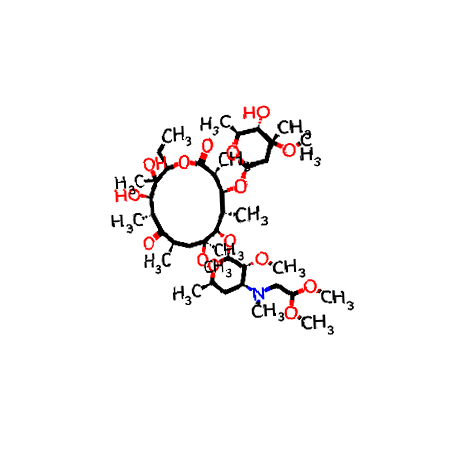 CC[C@H]1OC(=O)[C@H](C)[C@@H](O[C@@H]2C[C@@](C)(OC)[C@@H](O)[C@H](C)O2)[C@H](C)[C@@H](O[C@@H]2O[C@H](C)C[C@H](N(C)CC(OC)OC)[C@H]2OC)[C@@](C)(OC)C[C@@H](C)C(=O)[C@H](C)[C@@H](O)[C@]1(C)O